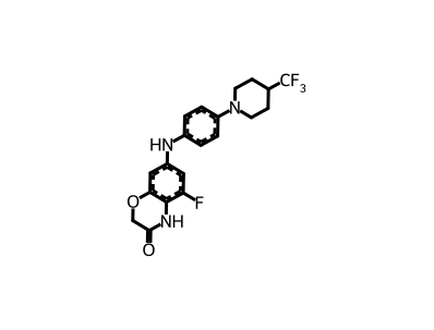 O=C1COc2cc(Nc3ccc(N4CCC(C(F)(F)F)CC4)cc3)cc(F)c2N1